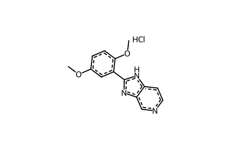 COc1ccc(OC)c(-c2nc3cnccc3[nH]2)c1.Cl